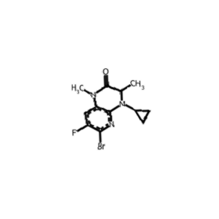 CC1C(=O)N(C)c2cc(F)c(Br)nc2N1C1CC1